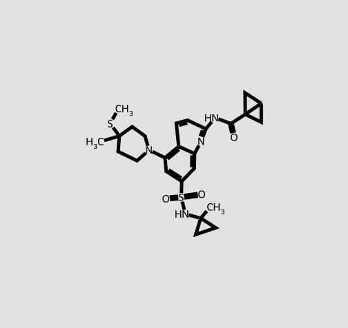 CSC1(C)CCN(c2cc(S(=O)(=O)NC3(C)CC3)cc3nc(NC(=O)C45CC4C5)ccc23)CC1